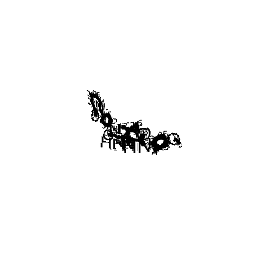 COc1ccc(NC(=O)c2n[nH]c3c2C2(CC2)CN(c2ccc(N4CCCCC4=O)cc2)C3=O)cc1